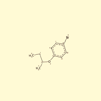 CCC(C)Oc1[c]cc(Br)cc1